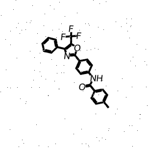 Cc1ccc(C(=O)Nc2ccc(-c3nc(-c4ccccc4)c(C(F)(F)F)o3)cc2)cc1